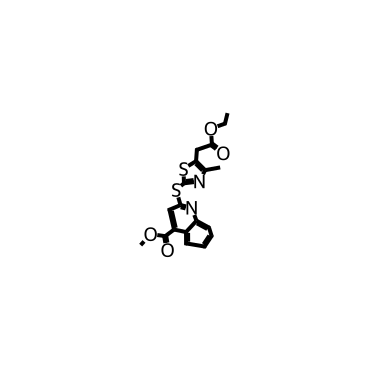 CCOC(=O)Cc1sc(Sc2cc(C(=O)OC)c3ccccc3n2)nc1C